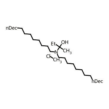 CCCCCCCCCCCCCCCCCCN(CCCCCCCCCCCCCCCCCC)C(C)(O)CC.CCl